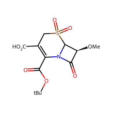 CO[C@H]1C(=O)N2C(C(=O)OC(C)(C)C)=C(C(=O)O)CS(=O)(=O)C12